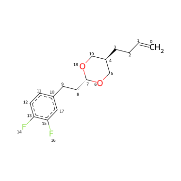 C=CCC[C@H]1CO[C@H](CCc2ccc(F)c(F)c2)OC1